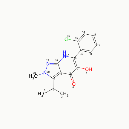 CC(C)c1c2c(=O)c(O)c(-c3ccccc3Cl)[nH]c2nn1C